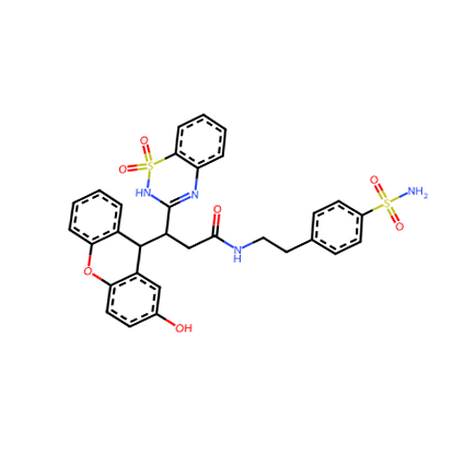 NS(=O)(=O)c1ccc(CCNC(=O)CC(C2=Nc3ccccc3S(=O)(=O)N2)C2c3ccccc3Oc3ccc(O)cc32)cc1